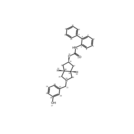 O=C(Nc1ccccc1-c1ccccc1)O[C@H]1C[C@@H]2CN(Cc3cccc(O)c3)C[C@@H]2C1